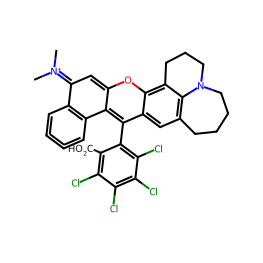 C[N+](C)=c1cc2oc3c4c5c(cc3c(-c3c(Cl)c(Cl)c(Cl)c(Cl)c3C(=O)O)c-2c2c1C=C=C=C2)CCCCN5CCC4